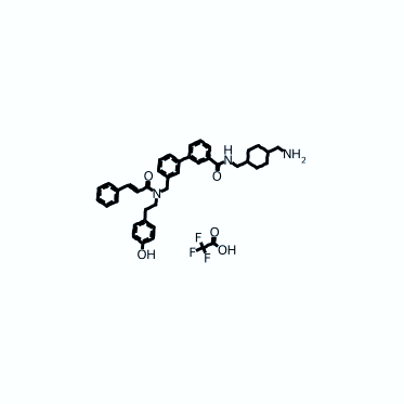 NCC1CCC(CNC(=O)c2cccc(-c3cccc(CN(CCc4ccc(O)cc4)C(=O)C=Cc4ccccc4)c3)c2)CC1.O=C(O)C(F)(F)F